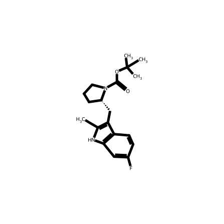 Cc1[nH]c2cc(F)ccc2c1C[C@@H]1CCCN1C(=O)OC(C)(C)C